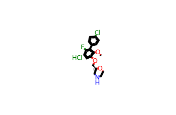 COc1c(OC[C@@H]2CNCCO2)ccc(F)c1-c1ccc(Cl)cc1.Cl